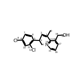 CC(=CC(C)c1ccc(Cl)cc1Cl)c1ncccc1CO